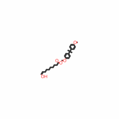 COc1ccc(C(C)(C)c2ccc(OCOC(=O)CCCCCCC/C=C\O)cc2)cc1